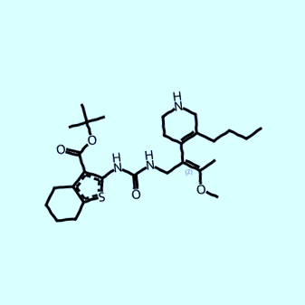 CCCCC1=C(/C(CNC(=O)Nc2sc3c(c2C(=O)OC(C)(C)C)CCCC3)=C(\C)OC)CCNC1